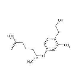 Cc1cc(O[C@H](C)CCCC(N)=O)ccc1[CH]CO